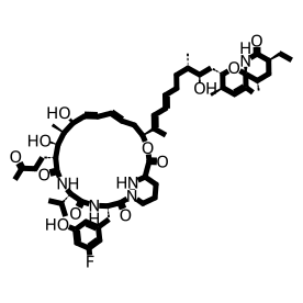 CC[C@H]1C[C@H](C)[C@@]2(NC1=O)O[C@@H](C[C@H](O)[C@@H](C)CC/C=C/C=C(\C)[C@@H]1C/C=C/C=C/[C@H](O)[C@H](C)[C@@H](O)[C@@H](CCC(C)=O)C(=O)N[C@@H](C(C)C)C(=O)N[C@@H](Cc3cc(O)cc(F)c3)C(=O)N3CCCC(N3)C(=O)O1)[C@H](C)C=C2C